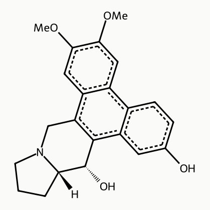 COc1cc2c3c(c4cc(O)ccc4c2cc1OC)[C@H](O)[C@@H]1CCCN1C3